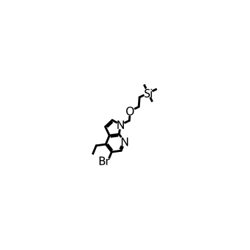 CCc1c(Br)cnc2c1ccn2COCC[Si](C)(C)C